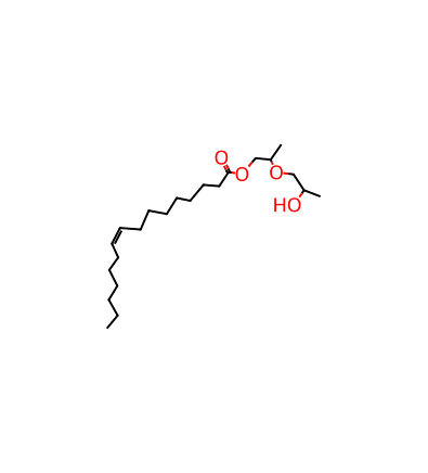 CCCCCC/C=C\CCCCCCCC(=O)OCC(C)OCC(C)O